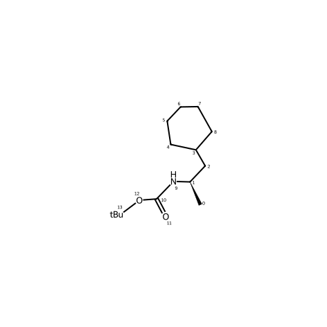 C[C@H](CC1CCCCC1)NC(=O)OC(C)(C)C